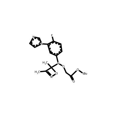 CC1=NOC1(C)N(OCC(=O)OC(C)(C)C)c1ccc(F)c(-n2ccnc2)c1